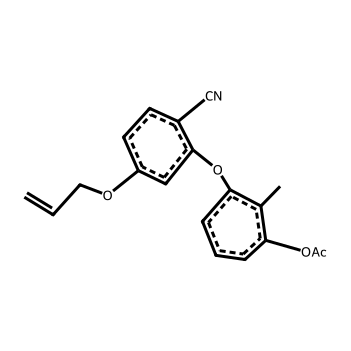 C=CCOc1ccc(C#N)c(Oc2cccc(OC(C)=O)c2C)c1